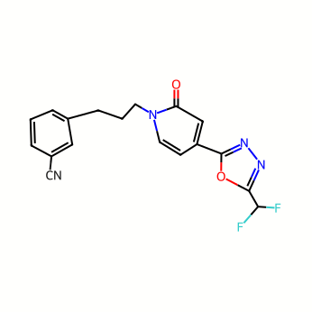 N#Cc1cccc(CCCn2ccc(-c3nnc(C(F)F)o3)cc2=O)c1